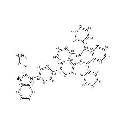 CCCc1nc2ccccc2n1-c1ccc(-c2ccc3c4c(cccc24)-c2c-3c(-c3ccccc3)c3ccccc3c2-c2ccccc2)cc1